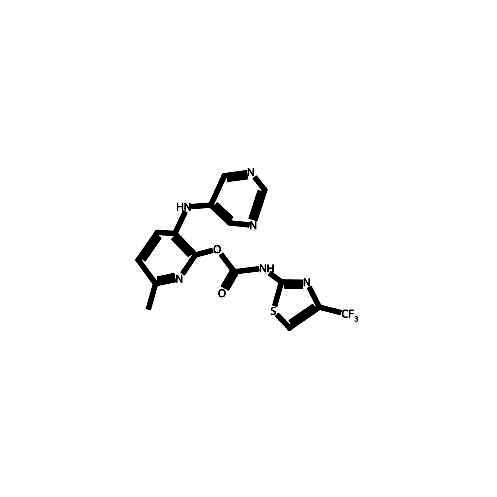 Cc1ccc(Nc2cncnc2)c(OC(=O)Nc2nc(C(F)(F)F)cs2)n1